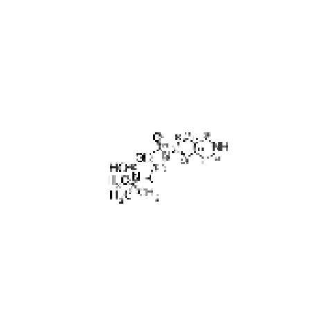 CC(C)(C)N(C[C@@H]1CN(c2ccc3c(c2)CCNC3)C(=O)O1)C(=O)O